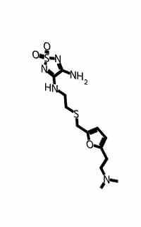 CN(C)CCc1ccc(CSCCNC2=NS(=O)(=O)N=C2N)o1